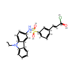 CCn1c2ccccc2c2cc(NS(=O)(=O)c3cccc(C=CC(=O)Cl)c3)ccc21